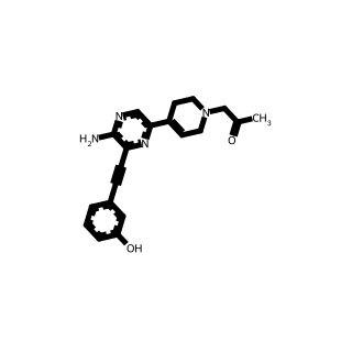 CC(=O)CN1CC=C(c2cnc(N)c(C#Cc3cccc(O)c3)n2)CC1